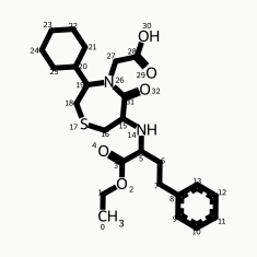 CCOC(=O)C(CCc1ccccc1)NC1CSCC(C2CCCCC2)N(CC(=O)O)C1=O